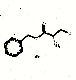 Br.N[C@@H](CCl)C(=O)OCc1ccccc1